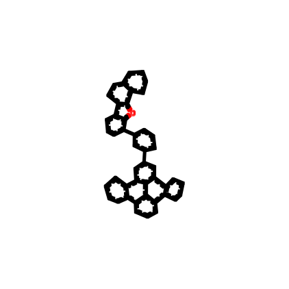 c1cc(-c2cc3c4ccccc4c4cccc5c6ccccc6c(c2)c3c45)cc(-c2cccc3c2oc2c4ccccc4ccc32)c1